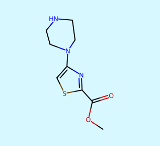 COC(=O)c1nc(N2CCNCC2)cs1